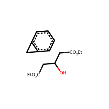 CCOC(=O)CC(O)CC(=O)OCC.c1ccc2c(c1)C2